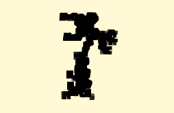 [C-]#[N+]CCOP(P[C@@H]1C[C@@H](COC(c2ccccc2)(c2ccc(OC)cc2)c2ccc(OC)cc2)N(CCCCCCNC(=O)O[C@H]2CC[C@@]3(C)C(=CCC4C3CC[C@@]3(C)C4CC[C@@H]3[C@H](C)CCCC(C)C)C2)C1)N(C(C)C)C(C)C